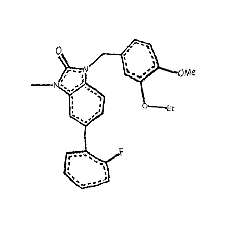 CCOc1cc(Cn2c(=O)n(C)c3cc(-c4ccccc4F)ccc32)ccc1OC